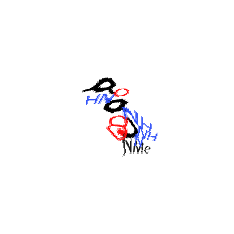 CNC(=O)c1nc[nH]c1C(=O)Nc1ccc(NC(=O)c2cccc(C)c2)cc1